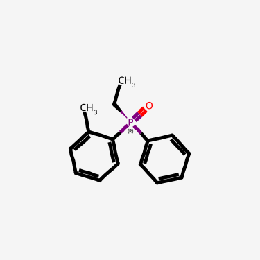 CC[P@@](=O)(c1ccccc1)c1ccccc1C